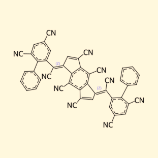 N#CC1=C/C(=C(/C#N)c2cc(C#N)cc(C#N)c2-c2ccccc2)c2c(C#N)c3c(c(C#N)c21)/C(=C(\C#N)c1cc(C#N)cc(C#N)c1-c1ccccc1)C=C3C#N